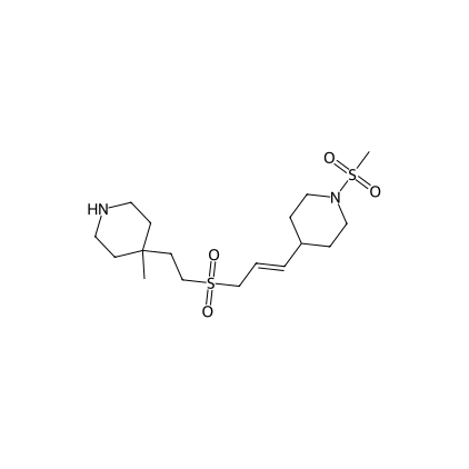 CC1(CCS(=O)(=O)CC=CC2CCN(S(C)(=O)=O)CC2)CCNCC1